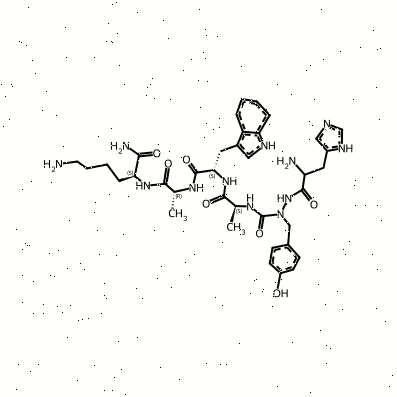 C[C@H](NC(=O)N(Cc1ccc(O)cc1)NC(=O)C(N)Cc1cnc[nH]1)C(=O)N[C@@H](Cc1c[nH]c2ccccc12)C(=O)N[C@H](C)C(=O)N[C@@H](CCCCN)C(N)=O